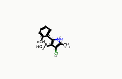 Cc1[nH]c(-c2ccccc2C#N)c(C(=O)O)c1Cl